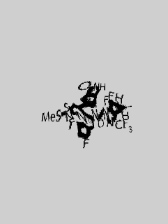 CSc1nc2nc([C@H](Cc3cc(F)cc(F)c3)NC(=O)Cn3nc(C(F)(F)F)c4c3C(F)(F)[C@@H]3[C@H](C)[C@H]43)c(-c3ccc4c(c3)C(=O)NC4)cc2s1